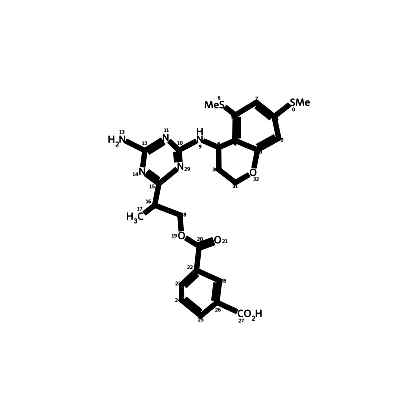 CSc1cc2c(c(SC)c1)C(Nc1nc(N)nc(C(C)COC(=O)c3cccc(C(=O)O)c3)n1)CCO2